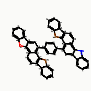 c1ccc2c(c1)[nH]c1c2cc(-c2ccc(-c3cc4c5ccccc5oc4c4ccc5c6ccccc6sc5c34)cc2)c2c1ccc1c3ccccc3sc12